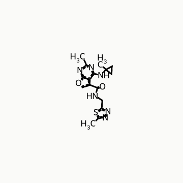 Cc1nc(NC2(C)CC2)c2c(C(=O)NCc3nnc(C)s3)coc2n1